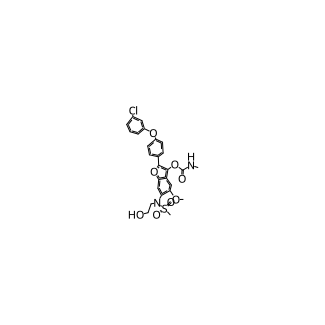 CNC(=O)Oc1c(-c2ccc(Oc3cccc(Cl)c3)cc2)oc2cc(N(CCO)S(C)(=O)=O)c(OC)cc12